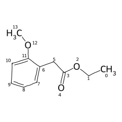 CCOC(=O)Cc1ccccc1OC